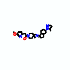 COc1ccc(CC(=O)N2CCC3(CC2)CN([C@@H]2CCc4cc(-n5nccc5C)ccc42)C3)nc1